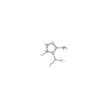 Bc1cnn(C)c1C(F)F